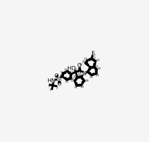 CC(C)(C)NS(=O)(=O)c1ccc(C2(O)C(=O)N(c3cccc4cc(F)ccc34)c3ccccc32)cc1